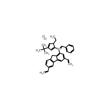 C=Cc1ccc2c(c1)-c1cc(C=C)c[c](/[Zr+2](=[CH]\c3ccccc3)[C]3=CC(C(C)(C)C)=CC3CC)c1C2.[Cl-].[Cl-]